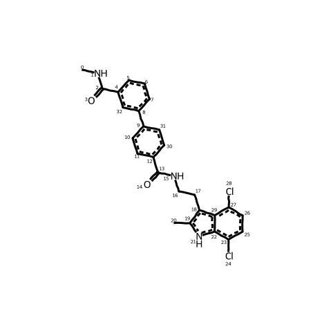 CNC(=O)c1cccc(-c2ccc(C(=O)NCCc3c(C)[nH]c4c(Cl)ccc(Cl)c34)cc2)c1